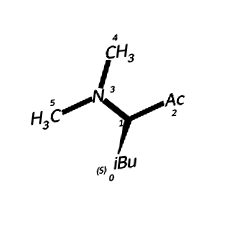 CC[C@H](C)C(C(C)=O)N(C)C